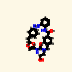 Nc1ccccc1NC(=O)c1ccc(CN(CCO)C(=O)NC2=COC(Cc3ccccc3)O2)cc1